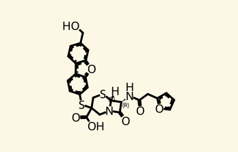 O=C(Cc1ccco1)N[C@@H]1C(=O)N2CC(Sc3ccc4c(c3)oc3cc(CO)ccc34)(C(=O)O)CS[C@H]12